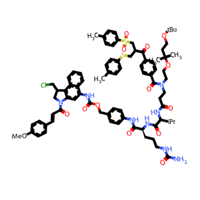 COc1ccc(/C=C/C(=O)N2CC(CCl)c3c2cc(NC(=O)OCc2ccc(NC(=O)[C@H](CCCNC(N)=O)NC(=O)C(NC(=O)CCN(CCOC(C)(C)CCOC(C)(C)C)C(=O)c4ccc(C(=O)C(CSc5ccc(C)cc5)CS(=O)(=O)c5ccc(C)cc5)cc4)C(C)C)cc2)c2ccccc32)cc1